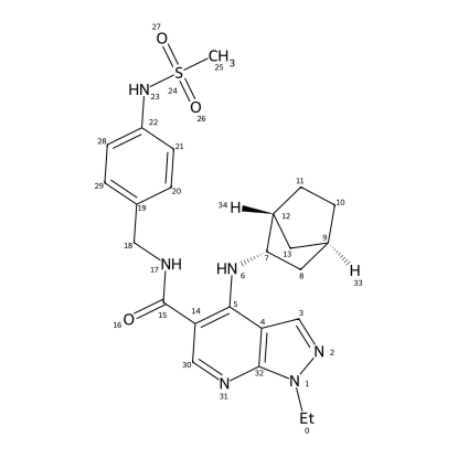 CCn1ncc2c(N[C@H]3C[C@@H]4CC[C@@H]3C4)c(C(=O)NCc3ccc(NS(C)(=O)=O)cc3)cnc21